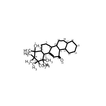 CC1(C)C2CCC3C(=CC(=O)C4C5CCCCC5CCC34)C2C(C)(C)C(C)(C(=O)O)C1(C)C